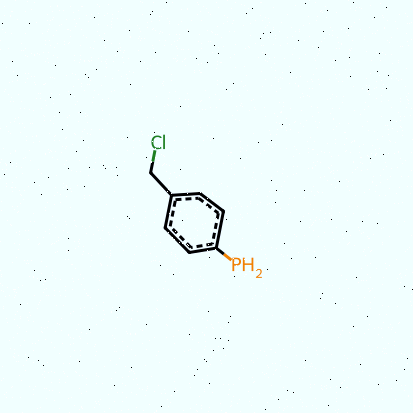 Pc1ccc(CCl)cc1